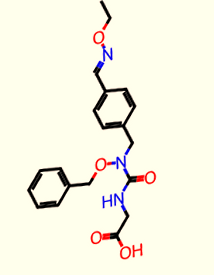 CCON=Cc1ccc(CN(OCc2ccccc2)C(=O)NCC(=O)O)cc1